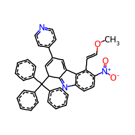 COC=Cc1c([N+](=O)[O-])ccc2c1C1=CC(c3ccncc3)=CC(C(c3ccccc3)(c3ccccc3)c3ccccc3)C1=N2